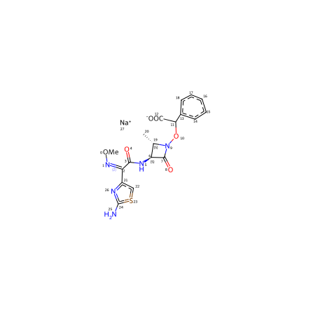 CO/N=C(\C(=O)N[C@@H]1C(=O)N(OC(C(=O)[O-])c2ccccc2)[C@H]1C)c1csc(N)n1.[Na+]